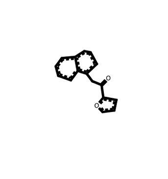 O=C(Cc1cccc2ccccc12)c1ccco1